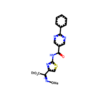 CCOC(=O)/C(=N/OC)c1csc(NC(=O)c2cnc(-c3ccccc3)nc2)n1